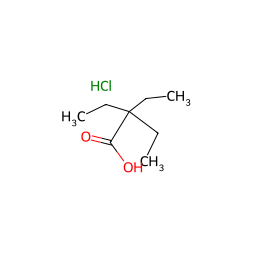 CCC(CC)(CC)C(=O)O.Cl